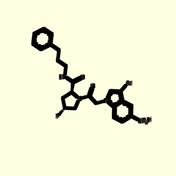 CC(=O)c1cn(CC(=O)N2C[C@H](F)C[C@H]2C(=O)NCCCc2ccccc2)c2ccc(C(=O)O)cc12